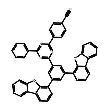 N#Cc1ccc(-c2nc(-c3ccccc3)nc(-c3cc(-c4cccc5c4oc4ccccc45)cc(-c4cccc5c4oc4ccccc45)c3)n2)cc1